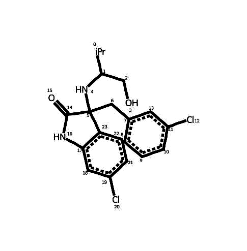 CC(C)C(CO)NC1(Cc2cccc(Cl)c2)C(=O)Nc2cc(Cl)ccc21